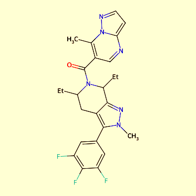 CCC1Cc2c(nn(C)c2-c2cc(F)c(F)c(F)c2)C(CC)N1C(=O)c1cnc2ccnn2c1C